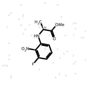 COC(=O)[C@H](C)Nc1cccc(F)c1[N+](=O)[O-]